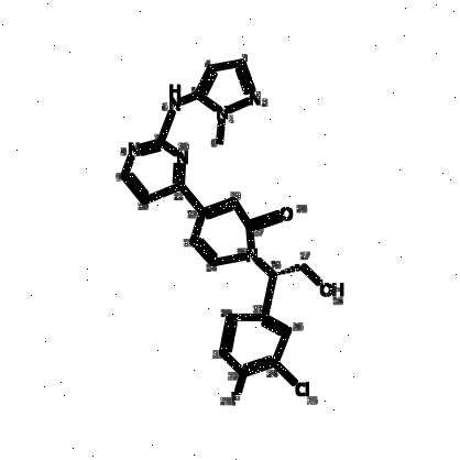 Cn1nccc1Nc1nccc(-c2ccn([C@H](CO)c3ccc(F)c(Cl)c3)c(=O)c2)n1